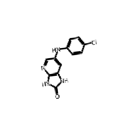 O=c1[nH]c2cc(Nc3ccc(Cl)cc3)cnc2[nH]1